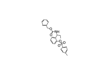 CCC(NC(=O)OCc1ccccc1)c1ccccc1OS(=O)(=O)c1ccc(C)cc1